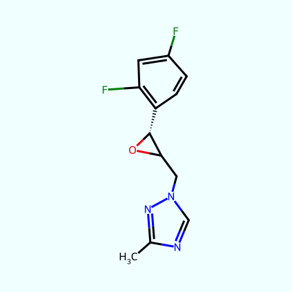 Cc1ncn(CC2O[C@@H]2c2ccc(F)cc2F)n1